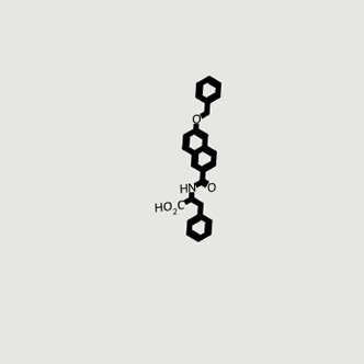 O=C(NC(Cc1ccccc1)C(=O)O)c1ccc2cc(OCc3ccccc3)ccc2c1